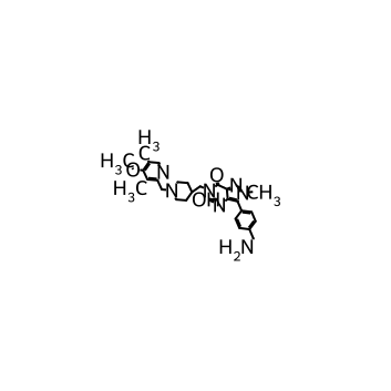 COc1c(C)cnc(CN2CCC(O)(Cn3cnc4c(-c5ccc(CN)cc5)n(C)nc4c3=O)CC2)c1C